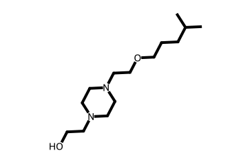 CC(C)CCCOCCN1CCN(CCO)CC1